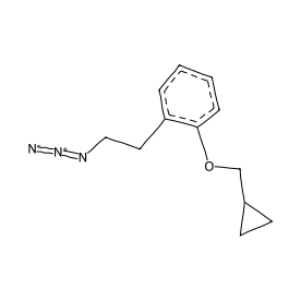 [N-]=[N+]=NCCc1ccccc1OCC1CC1